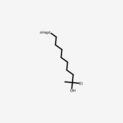 [CH2]CC(C)(O)CCCCCCCCCCCCCC